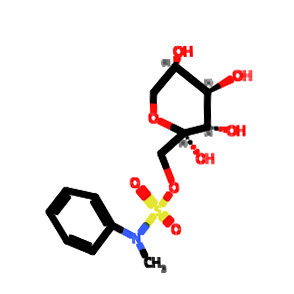 CN(c1ccccc1)S(=O)(=O)OC[C@@]1(O)OC[C@@H](O)[C@@H](O)[C@@H]1O